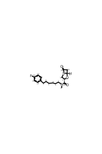 CN(CCCCCCc1ccc(F)cc1)C(=O)[C@H]1CN2C(=O)C[C@@H]2O1